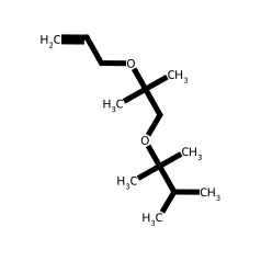 C=CCOC(C)(C)COC(C)(C)C(C)C